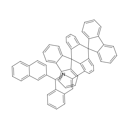 c1ccc2c(c1)-c1ccccc1C21c2ccccc2C2(c3ccccc3-c3ccccc32)c2c(-c3cc4ccccc4c(-c4ccc5ccccc5c4)n3)cccc21